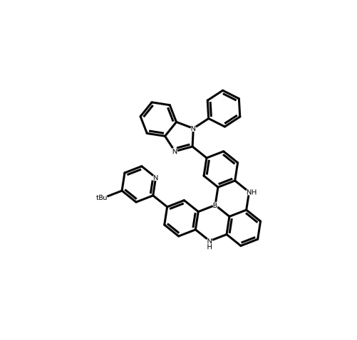 CC(C)(C)c1ccnc(-c2ccc3c(c2)B2c4cc(-c5nc6ccccc6n5-c5ccccc5)ccc4Nc4cccc(c42)N3)c1